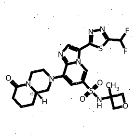 CC1(NS(=O)(=O)c2cc(N3CCN4C(=O)CCC[C@H]4C3)c3ncc(-c4nnc(C(F)F)s4)n3c2)COC1